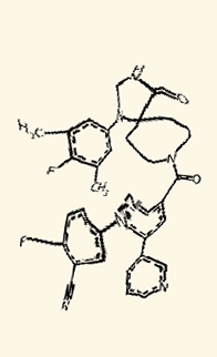 Cc1cc(N2CNC(=O)C23CCN(C(=O)c2cc(-c4cccnc4)n(-c4ccc(F)c(C#N)c4)n2)CC3)cc(C)c1F